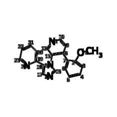 COc1ccccc1-c1ccncc1-n1cncc1-c1ccccn1